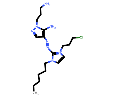 CCCCCCn1cc[n+](CCCCl)c1/N=N/c1cnn(CCCN)c1N